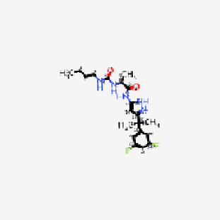 CCCCNC(=O)NC(C)C(=O)Nc1cc(C(C)(C)c2cc(F)cc(F)c2)n[nH]1